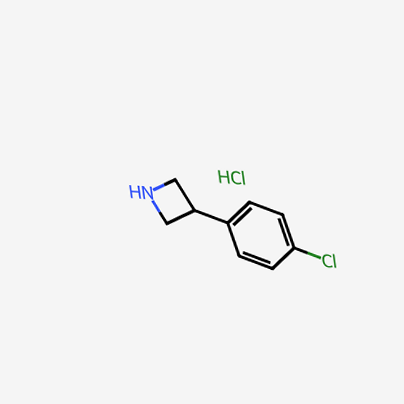 Cl.Clc1ccc(C2CNC2)cc1